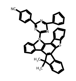 CC1(C)c2ccccc2-c2c1c1c3ccccc3n(-c3nc(-c4ccccc4)nc(-c4ccc(C#N)cc4)n3)c1c1c2sc2ccccc21